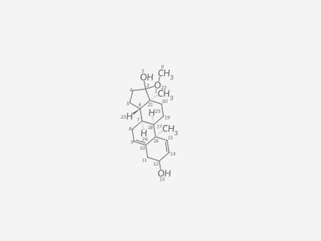 COC1(O)CC[C@H]2[C@@H]3CC=C4CC(O)C=C[C@]4(C)[C@@H]3CC[C@@]21C